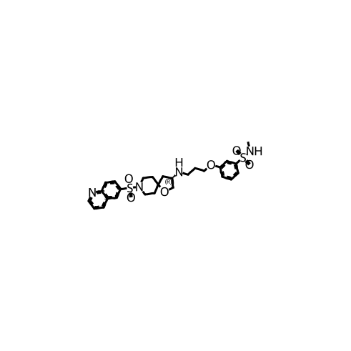 CNS(=O)(=O)c1cccc(OCCCN[C@H]2COC3(CCN(S(=O)(=O)c4ccc5ncccc5c4)CC3)C2)c1